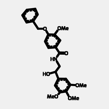 COc1cc(C(=O)NCC(O)c2cc(OC)c(OC)c(OC)c2)ccc1OCc1ccccc1